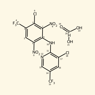 O=[N+]([O-])c1cc(C(F)(F)F)c(Cl)c([N+](=O)[O-])c1Nc1ncc(C(F)(F)F)cc1Cl.O=[PH](O)O